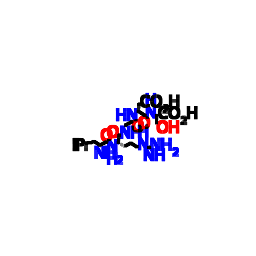 CC(C)C[C@H](N)C(=O)N[C@@H](CCCNC(=N)N)C(=O)NCC(=O)N[C@@H](CC(=O)O)C(=O)N[C@@H](CO)C(=O)O